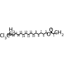 C=CC(=O)OCCCCCCCCCCCCCC[SiH2]C(Cl)(Cl)Cl